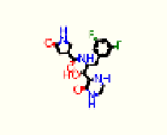 O=C1CC(C(=O)N[C@@H](Cc2cc(F)cc(F)c2)[C@H](O)[C@@H]2NCCNC2=O)CN1